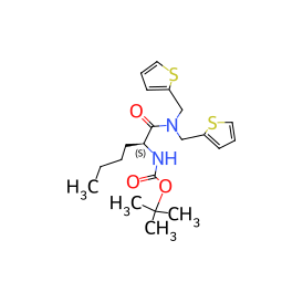 CCCC[C@H](NC(=O)OC(C)(C)C)C(=O)N(Cc1cccs1)Cc1cccs1